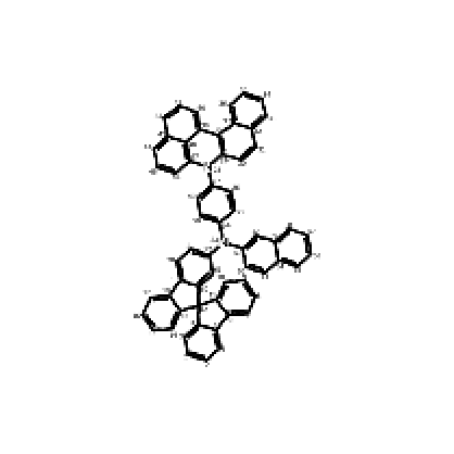 c1ccc2c(c1)-c1ccccc1C21c2ccccc2-c2ccc(N(c3ccc(N4c5ccc6ccccc6c5-c5cccc6cccc4c56)cc3)c3ccc4ccccc4c3)cc21